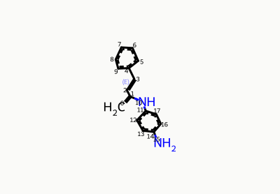 C=C(/C=C/c1ccccc1)Nc1ccc(N)cc1